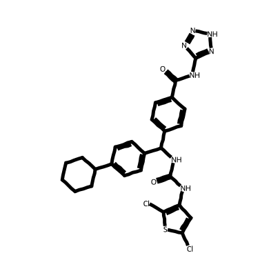 O=C(Nc1cc(Cl)sc1Cl)NC(c1ccc(C(=O)Nc2nn[nH]n2)cc1)c1ccc(C2CCCCC2)cc1